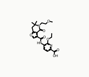 CCOc1nc(C(=O)O)ccc1NC(=O)c1coc2c1C(=O)N(CCOC)C(C)(C)C2